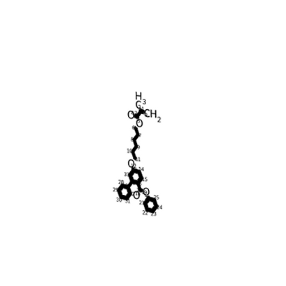 C=C(C)C(=O)OCCCCCCOc1ccc(C(=O)Oc2ccccc2)c(-c2ccccc2)c1